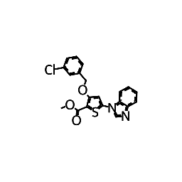 COC(=O)c1sc(-n2cnc3ccccc32)cc1OCc1cccc(Cl)c1